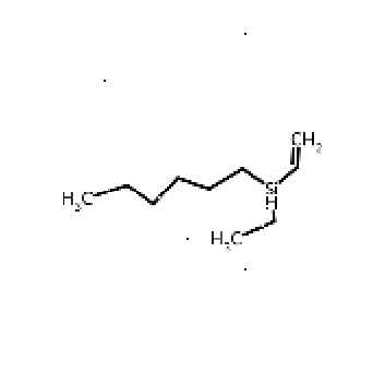 C=C[SiH](CC)CCCCCC